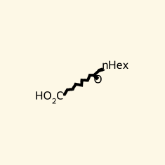 CCCCCCC=CC(=O)CCCCCCCCC(=O)O